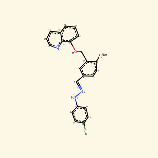 COc1ccc(/C=N/Nc2ccc(Cl)cc2)cc1COc1cccc2cccnc12